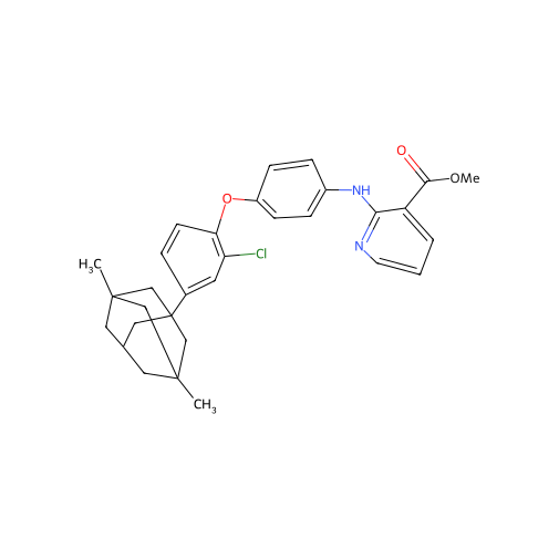 COC(=O)c1cccnc1Nc1ccc(Oc2ccc(C34CC5CC(C)(CC(C)(C5)C3)C4)cc2Cl)cc1